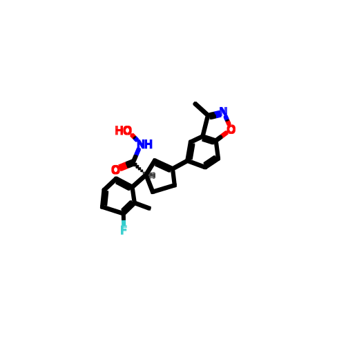 Cc1c(F)cccc1[C@@]1(C(=O)NO)C=C(c2ccc3onc(C)c3c2)CC1